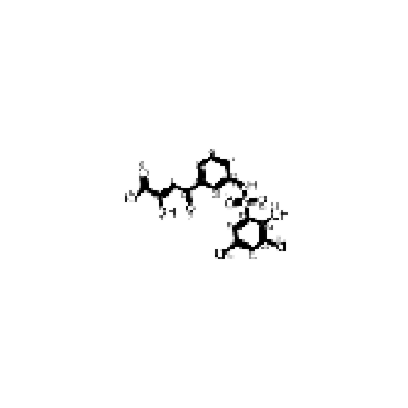 O=C(O)C(O)=CC(=O)c1cccc(NS(=O)(=O)c2cc(Cl)cc(Cl)c2O)c1